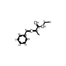 CCOC(=O)C(C)=C=Cc1ccccc1